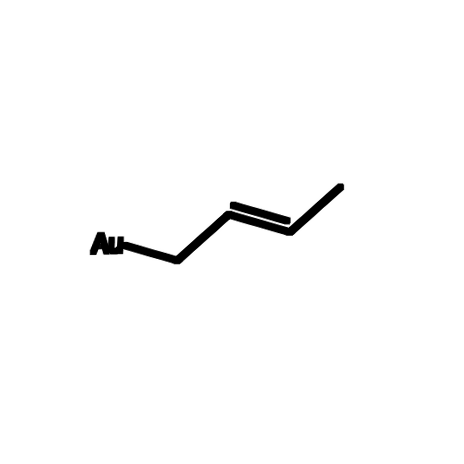 CC=C[CH2][Au]